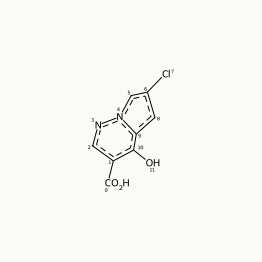 O=C(O)c1cnn2cc(Cl)cc2c1O